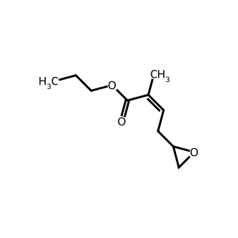 CCCOC(=O)C(C)=CCC1CO1